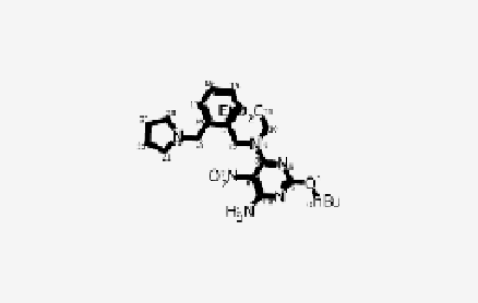 CCCCOc1nc(N)c([N+](=O)[O-])c(N(CC(=O)OCC)Cc2ccccc2CN2CCCC2)n1